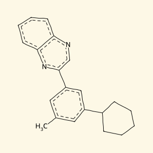 Cc1cc(-c2cnc3ccccc3n2)cc(C2CCCCC2)c1